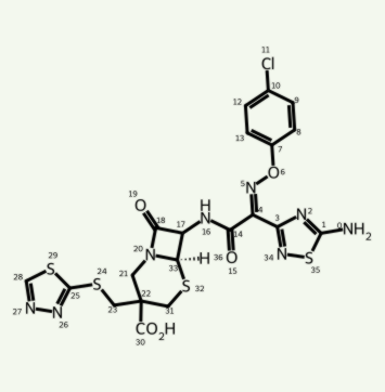 Nc1nc(C(=NOc2ccc(Cl)cc2)C(=O)NC2C(=O)N3CC(CSc4nncs4)(C(=O)O)CS[C@H]23)ns1